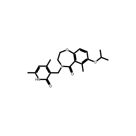 Cc1cc(C)c(CN2CCOc3ccc(OC(C)C)c(C)c3C2=O)c(=O)[nH]1